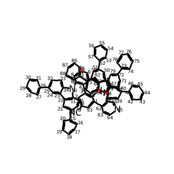 N#Cc1cc(-c2ccncc2-n2c3ccc(-c4ccccc4)cc3c3cc(-c4ccccc4)ccc32)c(-n2c3ccc(-c4ccccc4)cc3c3cc(-c4ccccc4)ccc32)c(-c2ccncc2-n2c3ccc(-c4ccccc4)cc3c3cc(-c4ccccc4)ccc32)c1